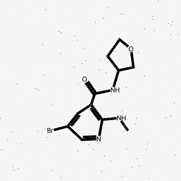 CNc1ncc(Br)cc1C(=O)NC1CCOC1